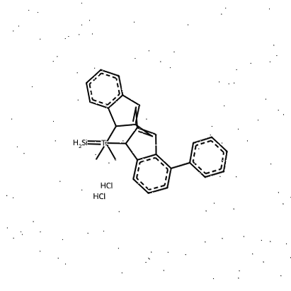 CC1=Cc2ccccc2[CH]1[Ti]([CH3])([CH3])(=[SiH2])[CH]1C(C)=Cc2c(-c3ccccc3)cccc21.Cl.Cl